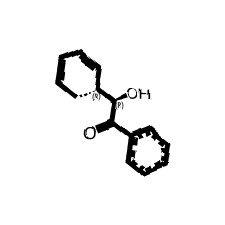 O=C(c1ccccc1)[C@H](O)[C@H]1C=CC=CC1